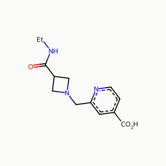 CCNC(=O)C1CN(Cc2cc(C(=O)O)ccn2)C1